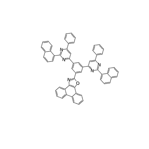 c1ccc(-c2cc(-c3cc(-c4cc(-c5ccccc5)nc(-c5cccc6ccccc56)n4)cc(-c4nc5c6ccccc6c6ccccc6c5o4)c3)nc(-c3cccc4ccccc34)n2)cc1